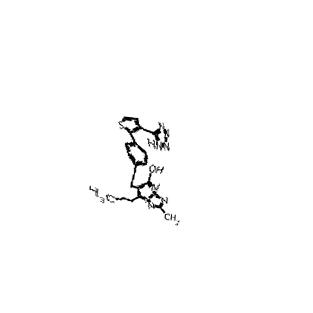 CCCc1c(Cc2ccc(-c3sccc3-c3nnn[nH]3)cc2)c(O)nc2nc(C)nn12